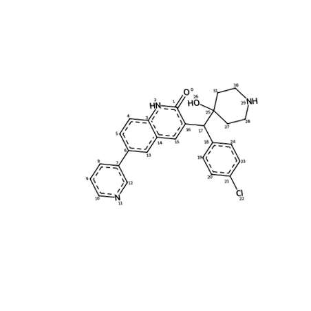 O=c1[nH]c2ccc(-c3cccnc3)cc2cc1C(c1ccc(Cl)cc1)C1(O)CCNCC1